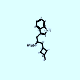 CNC(Cc1c[nH]c2ccccc12)CC1CC(C)C1